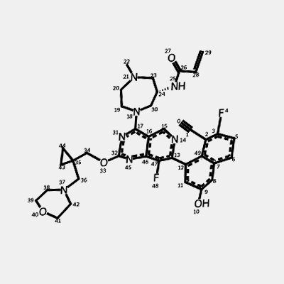 C#Cc1c(F)ccc2cc(O)cc(-c3ncc4c(N5CCN(C)C[C@H](NC(=O)C=C)C5)nc(OCC5(CN6CCOCC6)CC5)nc4c3F)c12